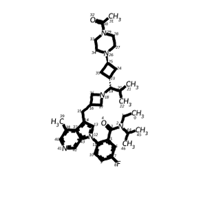 CCN(C(=O)c1cc(F)ccc1-n1cc(CC2CN(C(C(C)C)[C@H]3C[C@H](N4CCN(C(C)=O)CC4)C3)C2)c2c(C)cncc21)C(C)C